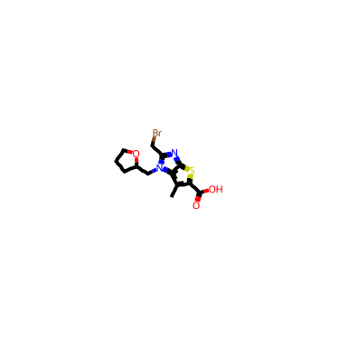 Cc1c(C(=O)O)sc2nc(CBr)n(CC3CCCO3)c12